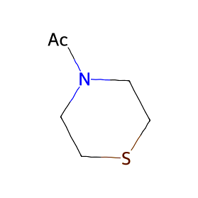 CC(=O)N1CCSCC1